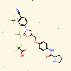 N#Cc1ccc(N2C[C@@H](COc3ccc(NC(=O)C4CCCN4)cc3)O[C@@H]2C(F)(F)F)cc1C(F)(F)F.O=C(O)C(F)(F)F